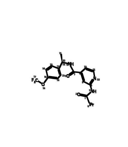 CC(C)C(=O)Nc1cc(C(=O)N[C@H](C)c2ccc(OC(F)(F)F)cc2)ccn1